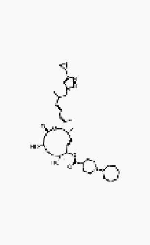 C/C(=C\C=C\[C@@H](C)Cn1cc(C2CC2)nn1)[C@H]1OC(=O)C[C@@H](O)CC[C@](C)(O)[C@H](OC(=O)N2CCN(C3CCCCCC3)CC2)/C=C/[C@@H]1C